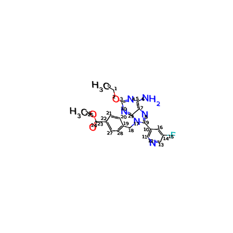 CCOc1nc(N)c2nc(-c3cncc(F)c3)n(Cc3ccc(C(=O)OC)cc3)c2n1